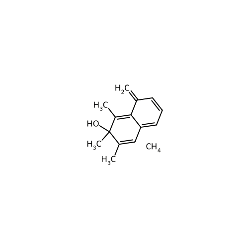 C.C=c1cccc2c1=C(C)C(C)(O)C(C)=C2